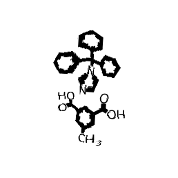 Cc1cc(C(=O)O)cc(C(=O)O)c1.c1ccc(C(c2ccccc2)(c2ccccc2)n2ccnc2)cc1